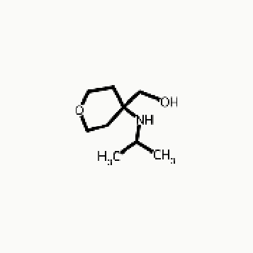 CC(C)NC1(CO)CCOCC1